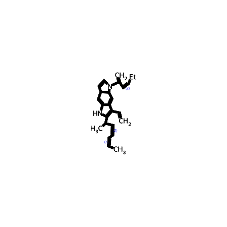 C=Cc1c(C(C)/C=C\C=C/C)[nH]c2c1=CC1C(C=CN1C(=C)/C=C\CC)C=2